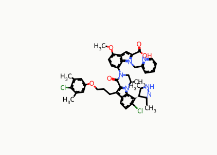 COc1ccc(N2C[C@@H](C)n3c(c(CCCOc4cc(C)c(Cl)c(C)c4)c4ccc(Cl)c([C@H]5C(C)=NN[C@@H]5C)c43)C2=O)c2c1cc(C(=O)O)n2Cc1ccccn1